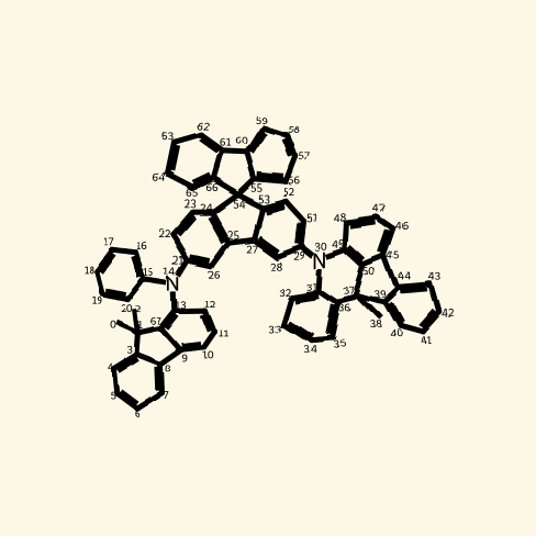 CC1(C)c2ccccc2-c2cccc(N(c3ccccc3)c3ccc4c(c3)-c3cc(N5c6ccccc6C6(C)c7ccccc7-c7cccc5c76)ccc3C43c4ccccc4-c4ccccc43)c21